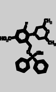 CC1CN(c2c(F)cc(C(=O)O)cc2CO[Si](c2ccccc2)(c2ccccc2)C(C)(C)C)CC(C)O1